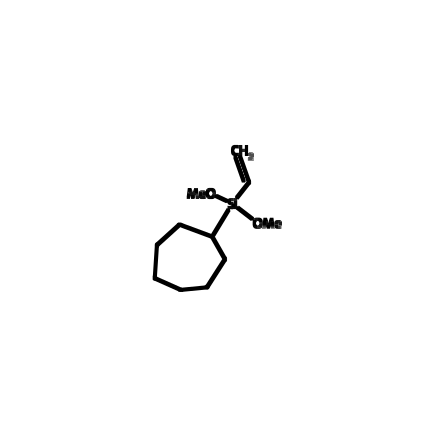 C=C[Si](OC)(OC)C1CCCCCC1